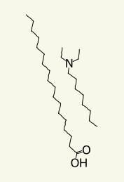 CCCCCCCCCCCCCCCCCC(=O)O.CCCCCCCCN(CC)CC